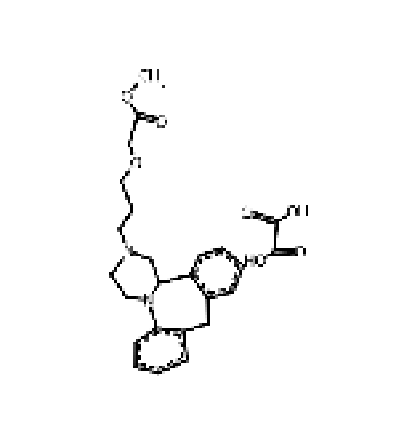 COC(=O)COCCCN1CCN2c3ccccc3Cc3ccccc3C2C1.O=C(O)C(=O)O